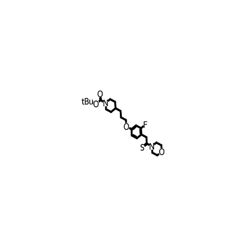 CC(C)(C)OC(=O)N1CCC(CCCOc2ccc(CC(=S)N3CCOCC3)c(F)c2)CC1